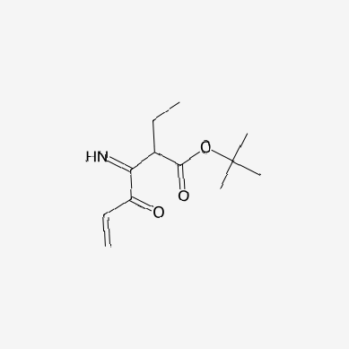 C=CC(=O)C(=N)C(CC)C(=O)OC(C)(C)C